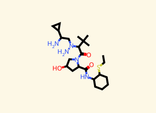 CCSC1CCCCC1NC(=O)C1CC(O)CN1C(=O)C(N(N)CC(N)C1CC1)C(C)(C)C